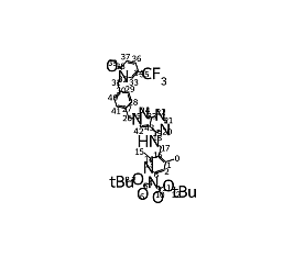 Cc1cc(N(C(=O)OC(C)(C)C)C(=O)OC(C)(C)C)nc(C)c1CNc1ncnc2nn(Cc3ccc(Cn4cc(C(F)(F)F)ccc4=O)cc3)cc12